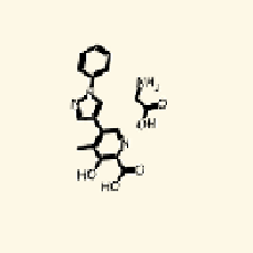 Cc1c(-c2cnn(-c3ccccc3)c2)cnc(C(=O)O)c1O.NCC(=O)O